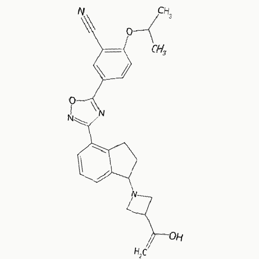 C=C(O)C1CN(C2CCc3c(-c4noc(-c5ccc(OC(C)C)c(C#N)c5)n4)cccc32)C1